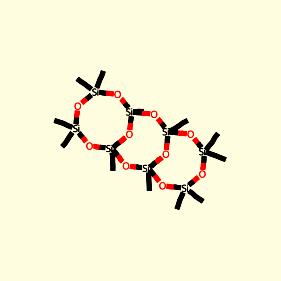 C[Si]1(C)O[Si](C)(C)O[Si]2(C)O[Si](C)(O1)O[Si]1(C)O[Si](C)(C)O[Si](C)(C)O[Si](C)(O1)O2